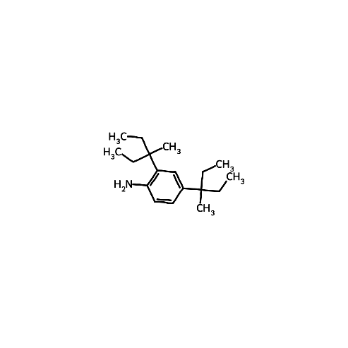 CCC(C)(CC)c1ccc(N)c(C(C)(CC)CC)c1